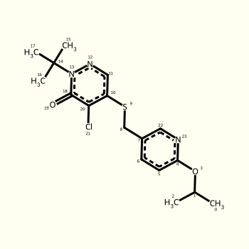 CC(C)Oc1ccc(CSc2cnn(C(C)(C)C)c(=O)c2Cl)cn1